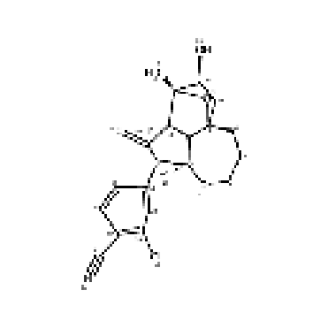 C[C@@]12O[C@]3(CCCO[C@@H]4C3[C@H]1C(=O)N4c1ccc(C#N)c(Cl)c1)C[C@@H]2O